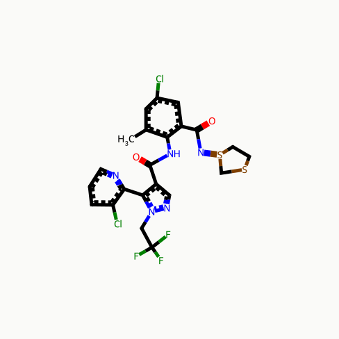 Cc1cc(Cl)cc(C(=O)/N=S2\CCSC2)c1NC(=O)c1cnn(CC(F)(F)F)c1-c1ncccc1Cl